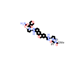 CC[C@H]1CC[C@@H](c2ncc(-c3ccc4c(c3)COc3cc5c(ccc6nc([C@@H]7CC[C@H](C)N7C(=O)C(C)(OC(N)=O)C7CCOCC7)[nH]c65)cc3-4)[nH]2)N1C(=O)C(NC(=O)OC)C(C)C